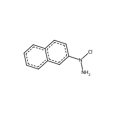 NN(Cl)c1ccc2ccccc2c1